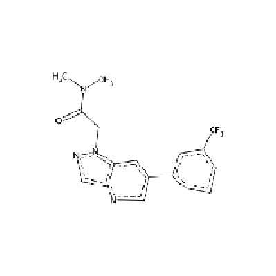 CN(C)C(=O)Cn1ncc2ncc(-c3cccc(C(F)(F)F)c3)cc21